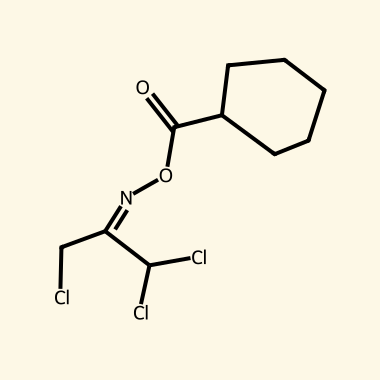 O=C(ON=C(CCl)C(Cl)Cl)C1CCCCC1